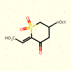 CCCCCCCCC1CC(=O)/C(=C/C(=O)O)S(=O)(=O)C1